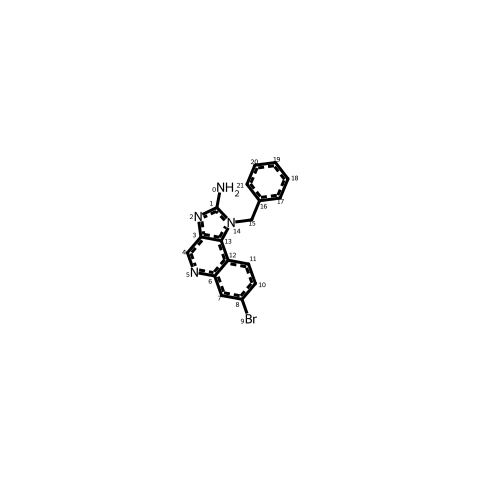 Nc1nc2cnc3cc(Br)ccc3c2n1Cc1ccccc1